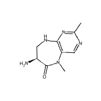 Cc1ncc2c(n1)NC[C@H](N)C(=O)N2C